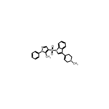 Cc1c(S(=O)(=O)n2cc(C3=CCN(C)CC3)c3ccccc32)cnn1-c1ccccc1